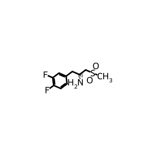 CS(=O)(=O)C[C@H](N)Cc1ccc(F)c(F)c1